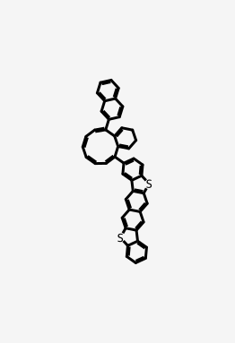 C1=c2c(-c3ccc4ccccc4c3)ccccccc(-c3ccc4sc5cc6cc7c(cc6cc5c4c3)sc3ccccc37)c2=CCC1